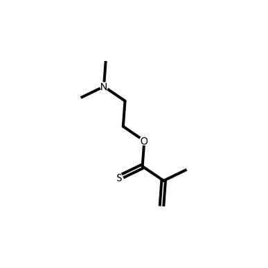 C=C(C)C(=S)OCCN(C)C